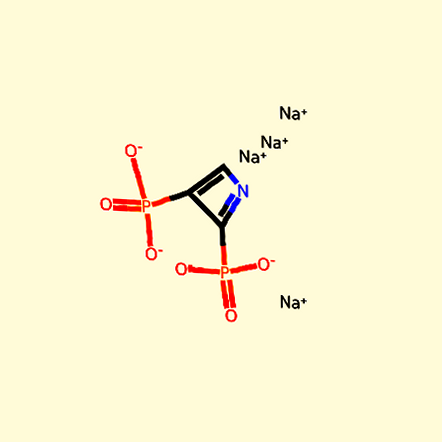 O=P([O-])([O-])C1=CN=C1P(=O)([O-])[O-].[Na+].[Na+].[Na+].[Na+]